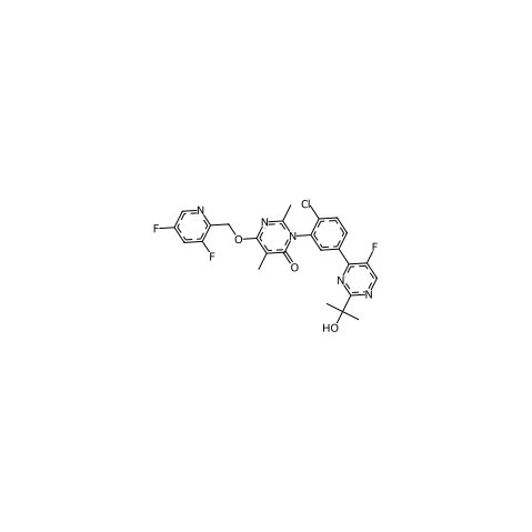 Cc1c(OCc2ncc(F)cc2F)nc(C)n(-c2cc(-c3nc(C(C)(C)O)ncc3F)ccc2Cl)c1=O